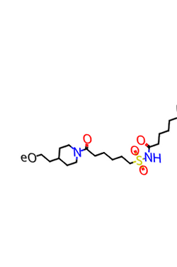 CCCCCCCCCCCCCCCC(=O)NS(=O)(=O)CCCCCC(=O)N1CCC(CCOC)CC1